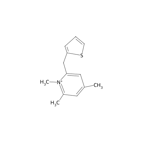 Cc1cc(C)[n+](C)c(Cc2cccs2)c1